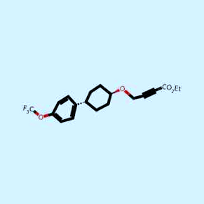 CCOC(=O)C#CCO[C@H]1CC[C@H](c2ccc(OC(F)(F)F)cc2)CC1